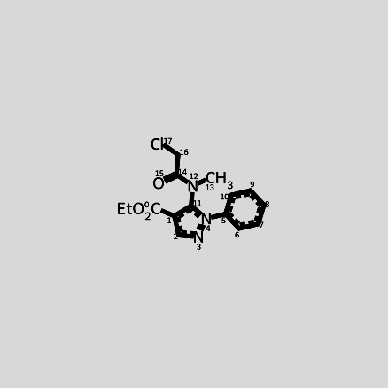 CCOC(=O)c1cnn(-c2ccccc2)c1N(C)C(=O)CCl